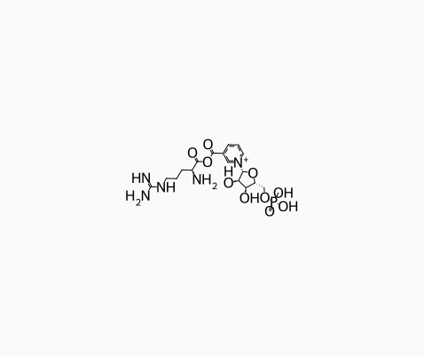 N=C(N)NCCC[C@H](N)C(=O)OC(=O)c1ccc[n+]([C@@H]2O[C@H](COP(=O)(O)O)[C@@H](O)[C@H]2O)c1